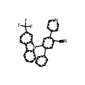 N#Cc1cc(-c2ccccc2)c(-n2c3ccccc3c3ccc(C(F)(F)F)cc32)cc1-c1ccncc1